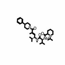 C/C(=C\[C@H](C(C)C)N(C)C(=O)[C@@H](NC(=O)C1CCCCN1C(C)C)C(C)C)C(=O)N1CCC(c2ccccc2)CC1